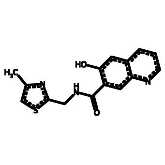 Cc1csc(CNC(=O)c2cc3ncccc3cc2O)n1